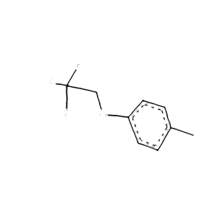 Cc1c[c]c(OCC(F)(F)F)cc1